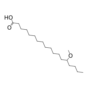 CCCCC(CCCCCCCCCCCCC(=O)O)OC